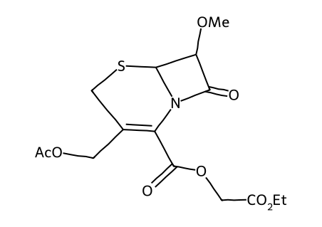 CCOC(=O)COC(=O)C1=C(COC(C)=O)CSC2C(OC)C(=O)N12